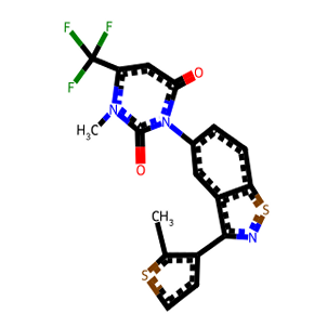 Cc1sccc1-c1nsc2ccc(-n3c(=O)cc(C(F)(F)F)n(C)c3=O)cc12